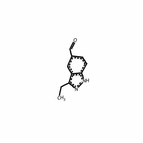 CCc1n[nH]c2ccc(C=O)cc12